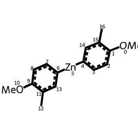 COc1cc[c]([Zn][c]2ccc(OC)c(C)c2)cc1C